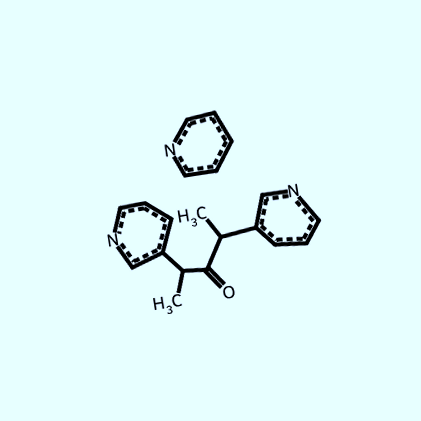 CC(C(=O)C(C)c1cccnc1)c1cccnc1.c1ccncc1